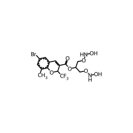 Cc1cc(Br)cc2c1OC(C(F)(F)F)C(C(=O)OC(CONO)CONO)=C2